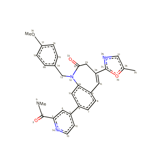 CNC(=O)c1cc(-c2ccc3c(c2)N(Cc2ccc(OC)cc2)C(=O)CC(c2ncc(C)o2)=C3)ccn1